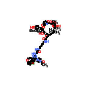 C=CC(=O)N1CCN(c2nc(NCCC(=O)NCCCCCCNC(=O)CCC[C@@H]3/C=C(\C)C[C@H](C)C[C@H](C)[C@H]4O[C@@](O)(C(=O)C(=O)N5CCCC[C@H]5C(=O)O[C@H](/C(C)=C/[C@@H]5CC[C@@H](O)[C@H](OC)C5)[C@H](C)[C@@H](O)CC3=O)[C@H](C)C[C@@H]4O)nc3c4c(c(Cl)cc23)-c2c(F)cccc2OC/C=C/4)CC1